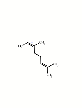 C/C=C(/C)CCC=C(C)C